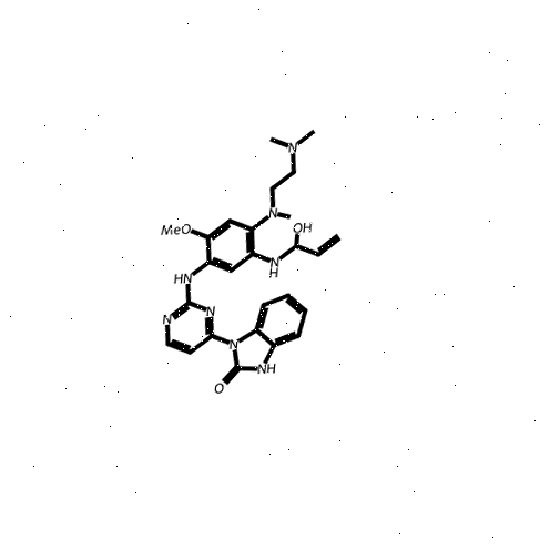 C=CC(O)Nc1cc(Nc2nccc(-n3c(=O)[nH]c4ccccc43)n2)c(OC)cc1N(C)CCN(C)C